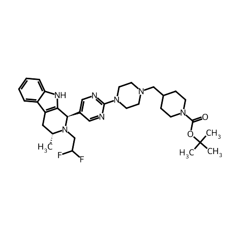 C[C@@H]1Cc2c([nH]c3ccccc23)[C@@H](c2cnc(N3CCN(CC4CCN(C(=O)OC(C)(C)C)CC4)CC3)nc2)N1CC(F)F